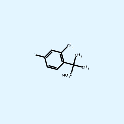 CC(C)(C(=O)O)c1ccc(I)cc1C(F)(F)F